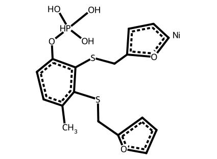 Cc1ccc(O[PH](O)(O)O)c(SCc2ccco2)c1SCc1ccco1.[Ni]